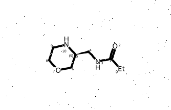 CCC(=O)NC[C@H]1COCCN1